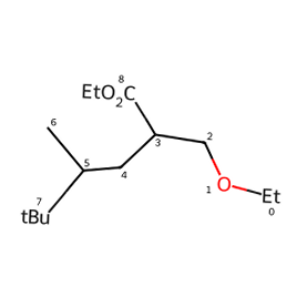 CCOCC(CC(C)C(C)(C)C)C(=O)OCC